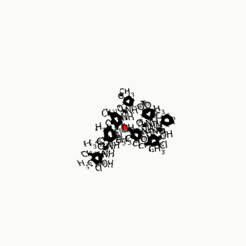 COc1cccc(NC(=O)Nc2cc(Cl)c(C)c(Cl)c2O)c1.Cc1c(Cl)cc(NC(=O)Nc2ccc3c(c2)OCO3)c(O)c1Cl.Cc1cccc(C)c1NC(=O)Nc1cc(Cl)c(C)c(Cl)c1O.Cc1ccccc1NC(=O)Nc1cc(Cl)c(C)c(Cl)c1O